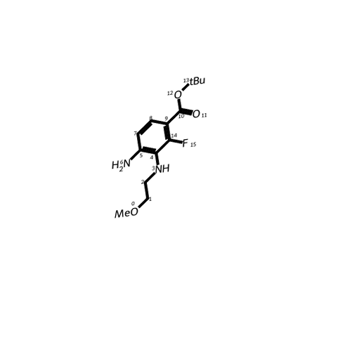 COCCNc1c(N)ccc(C(=O)OC(C)(C)C)c1F